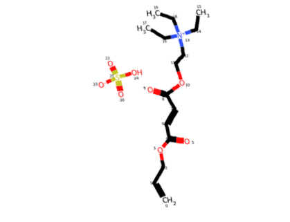 C=CCOC(=O)C=CC(=O)OCC[N+](CC)(CC)CC.O=S(=O)([O-])O